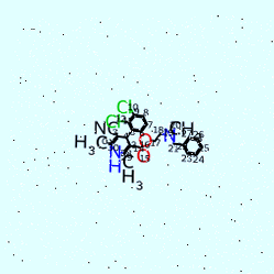 CC1=C(C#N)C(c2cccc(Cl)c2Cl)C(C(=O)OCCN(C)Cc2ccccc2)=C(C)N1